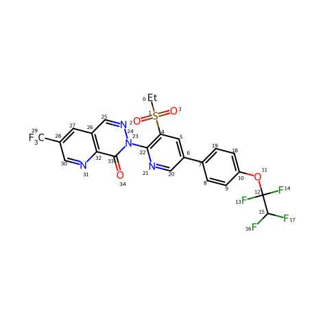 CCS(=O)(=O)c1cc(-c2ccc(OC(F)(F)C(F)F)cc2)cnc1-n1ncc2cc(C(F)(F)F)cnc2c1=O